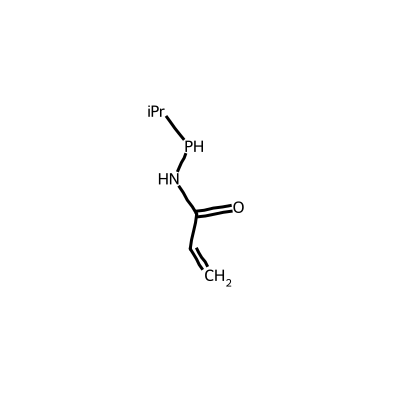 C=CC(=O)NPC(C)C